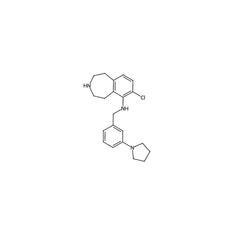 Clc1ccc2c(c1NCc1cccc(N3CCCC3)c1)CCNCC2